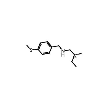 CC[C@H](C)CNCc1ccc(SC)cc1